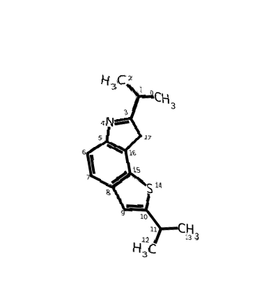 CC(C)C1=Nc2ccc3cc(C(C)C)sc3c2C1